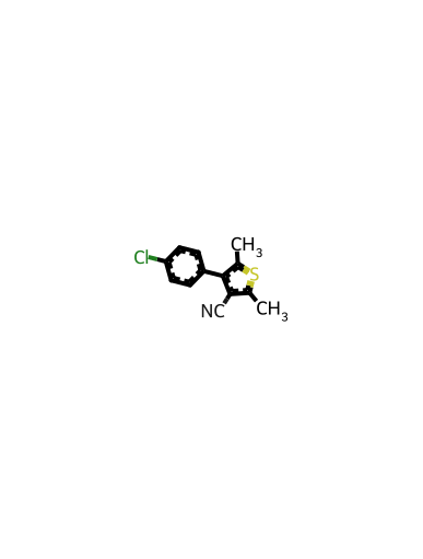 Cc1sc(C)c(-c2ccc(Cl)cc2)c1C#N